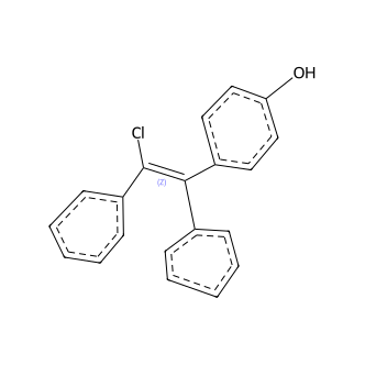 Oc1ccc(/C(=C(\Cl)c2ccccc2)c2ccccc2)cc1